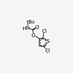 CC(C)(C)NC(=O)Oc1cc(Cl)sc1Cl